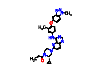 C=CC(=O)N1CCN(c2ccc3ncnc(Nc4ccc(Oc5ccc6c(c5)nnn6C)c(C)c4)c3n2)C[C@@H]1C1CC1